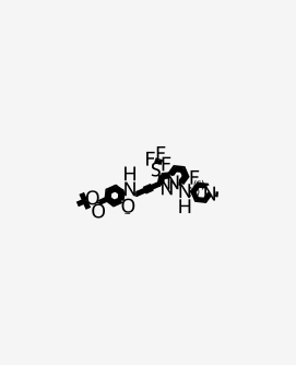 COc1cc(C(=O)OC(C)(C)C)ccc1NCC#Cc1nn2c(N[C@@H]3CCN(C)C[C@@H]3F)cccc2c1SC(F)(F)F